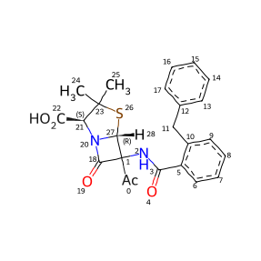 CC(=O)C1(NC(=O)c2ccccc2Cc2ccccc2)C(=O)N2[C@@H](C(=O)O)C(C)(C)S[C@@H]21